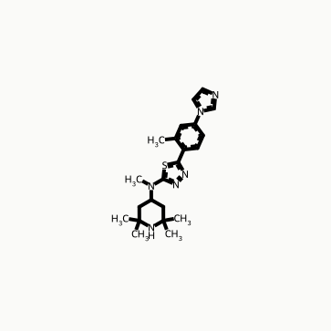 Cc1cc(-n2ccnc2)ccc1-c1nnc(N(C)C2CC(C)(C)NC(C)(C)C2)s1